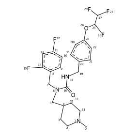 CN1CCC(CN(Cc2ccc(F)cc2F)C(=O)NCc2ccc(OC(F)C(F)F)cc2)CC1